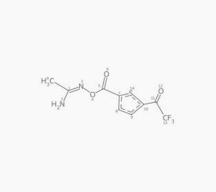 C/C(N)=N/OC(=O)c1ccc(C(=O)C(F)(F)F)s1